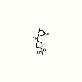 Cc1cc(F)cc(N(C)C2CCN(S(C)(=O)=O)CC2)c1